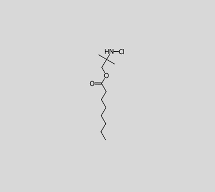 CCCCCCCC(=O)OCC(C)(C)NCl